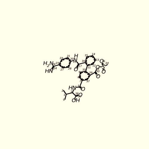 CC(C)C(NC(=O)c1ccc(-c2ccccc2C(=O)Nc2ccc(C(=N)N)cc2)c(C(=O)OS(C)(=O)=O)c1)C(=O)O